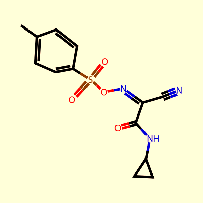 Cc1ccc(S(=O)(=O)ON=C(C#N)C(=O)NC2CC2)cc1